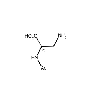 CC(=O)N[C@@H](CN)C(=O)O